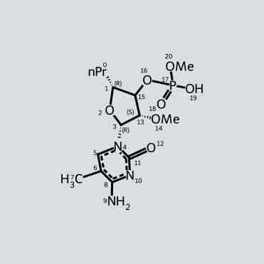 CCC[C@H]1O[C@@H](n2cc(C)c(N)nc2=O)[C@@H](OC)C1OP(=O)(O)OC